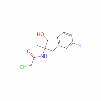 CC(CO)(Cc1cccc(I)c1)NC(=O)CCl